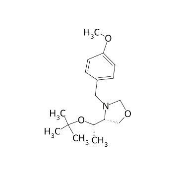 COc1ccc(CN2COC[C@@H]2[C@H](C)OC(C)(C)C)cc1